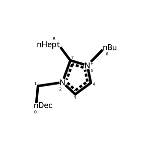 CCCCCCCCCCCn1cc[n+](CCCC)c1CCCCCCC